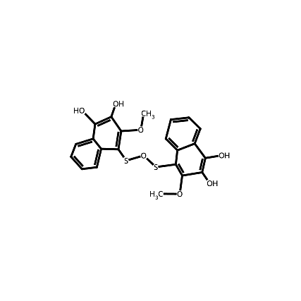 COc1c(O)c(O)c2ccccc2c1SOSc1c(OC)c(O)c(O)c2ccccc12